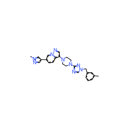 Cc1cccc(Cn2cnc(N3CCN(c4cnn5cc(-c6cnn(C)c6)ccc45)CC3)n2)c1